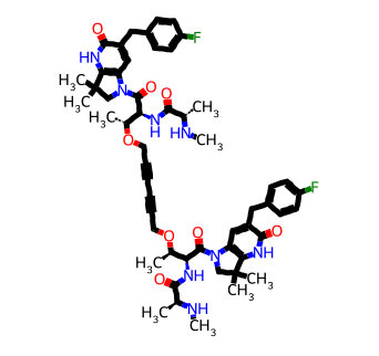 CN[C@@H](C)C(=O)N[C@H](C(=O)N1CC(C)(C)c2[nH]c(=O)c(Cc3ccc(F)cc3)cc21)[C@@H](C)OCC#CC#CCO[C@H](C)[C@H](NC(=O)[C@H](C)NC)C(=O)N1CC(C)(C)c2[nH]c(=O)c(Cc3ccc(F)cc3)cc21